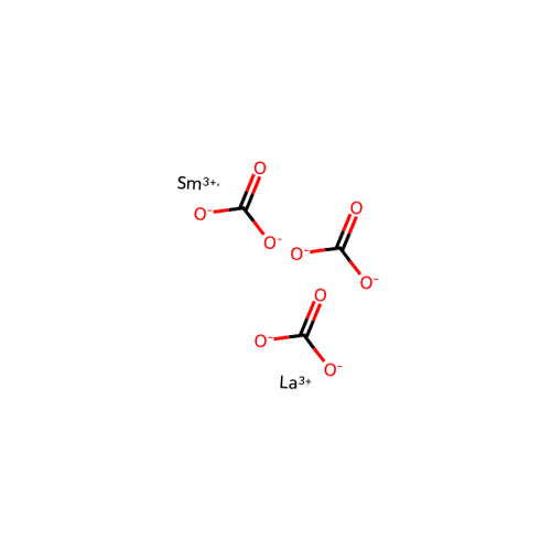 O=C([O-])[O-].O=C([O-])[O-].O=C([O-])[O-].[La+3].[Sm+3]